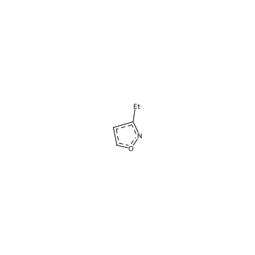 C[CH]c1ccon1